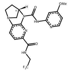 COc1ccnc(NC(=O)N2c3nc(C(=O)NCC(F)(F)F)ccc3N3CC[C@H]2C3)c1